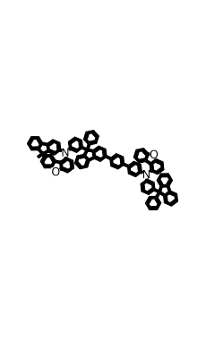 CC1(C)c2ccccc2-c2ccc(N(c3cccc(C4(c5ccccc5)c5ccccc5-c5cc(-c6ccc(-c7ccc(N(c8cccc(C9(c%10ccccc%10)c%10ccccc%10-c%10ccccc%109)c8)c8cccc9oc%10ccccc%10c89)cc7)cc6)ccc54)c3)c3cccc4oc5ccccc5c34)cc21